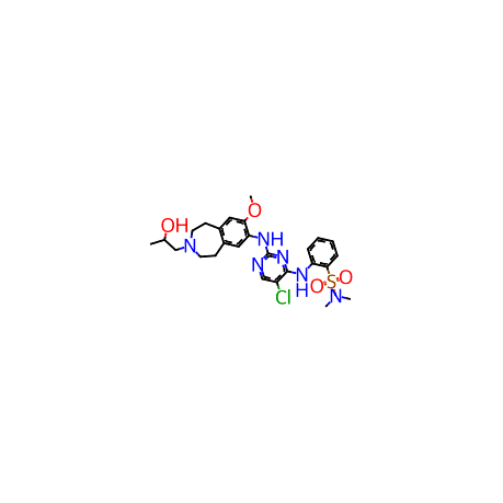 COc1cc2c(cc1Nc1ncc(Cl)c(Nc3ccccc3S(=O)(=O)N(C)C)n1)CCN(CC(C)O)CC2